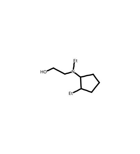 CCC1CCCC1N(CC)CCO